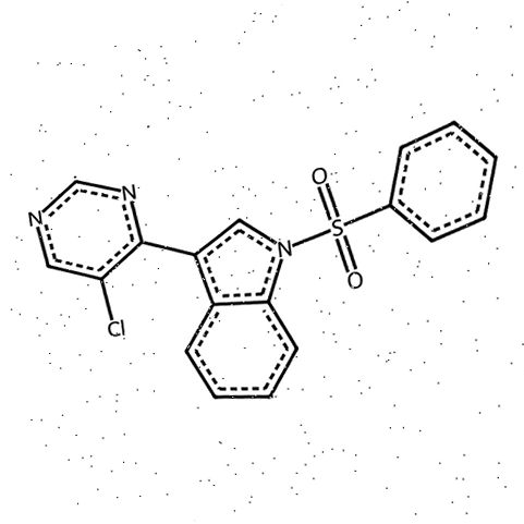 O=S(=O)(c1ccccc1)n1cc(-c2n[c]ncc2Cl)c2ccccc21